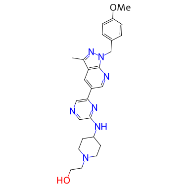 COc1ccc(Cn2nc(C)c3cc(-c4cncc(NC5CCN(CCO)CC5)n4)cnc32)cc1